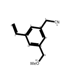 C=Cc1cc(CC#N)cc(COC)c1